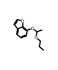 CCCOC(C)Oc1cccc2ccoc12